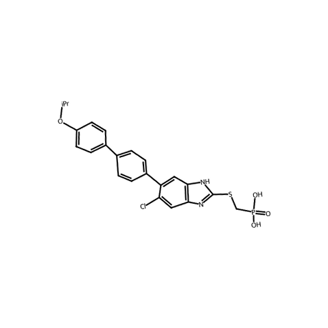 CC(C)Oc1ccc(-c2ccc(-c3cc4[nH]c(SCP(=O)(O)O)nc4cc3Cl)cc2)cc1